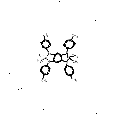 Cc1ccc(N2c3cc4c(cc3N(c3ccc(C)cc3)[Si]2(C)C)N(c2ccc(C)cc2)[Si](C)(C)N4c2ccc(C)cc2)cc1